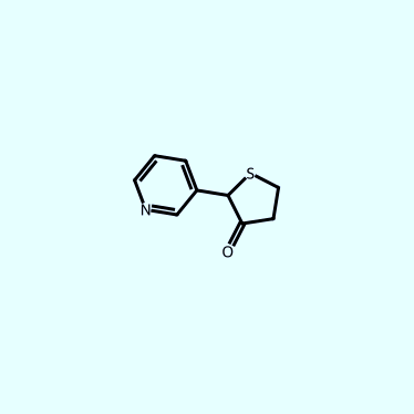 O=C1CCSC1c1cccnc1